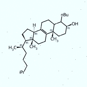 CCCCC1C2CCC3=C(CC[C@]4(C)[C@@H]([C@H](C)CCCC(C)C)CC[C@@H]34)[C@@]2(C)CC[C@@H]1O